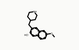 COc1ccc2ccc(CC3CCNCC3)cc2c1.Cl